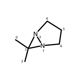 CC1(C)N2CCCN21